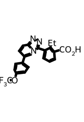 CCc1c(C(=O)O)cccc1-c1nnc2ccc(-c3ccc(OC(F)(F)F)cc3)cn12